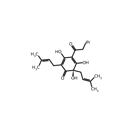 CC(C)=CCC1=C(O)C(C(=O)CC(C)C)=C(O)[C@](O)(CC=C(C)C)C1=O